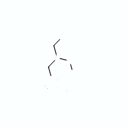 CCB(CC)OC.[BH4-].[Na+]